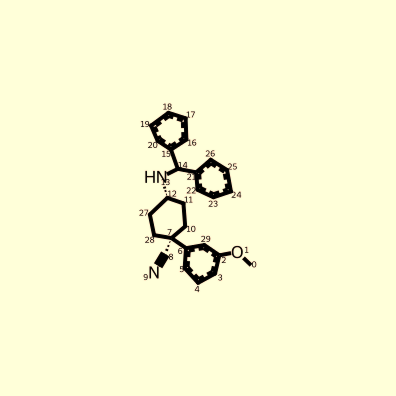 COc1cccc([C@]2(C#N)CC[C@@H](NC(c3ccccc3)c3ccccc3)CC2)c1